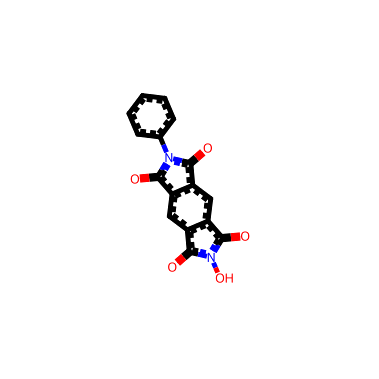 O=c1c2cc3c(=O)n(-c4ccccc4)c(=O)c3cc2c(=O)n1O